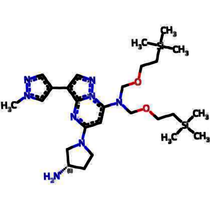 Cn1cc(-c2cnn3c(N(COCC[Si](C)(C)C)COCC[Si](C)(C)C)cc(N4CC[C@H](N)C4)nc23)cn1